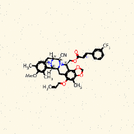 C=CCOc1c(C)c2c(c3c1CC1[C@H]4c5c(cc(C)c(OC)c5C)C[C@H]([C@H](C#N)N1[C@H]3COC(=O)/C=C/c1cccc(C(F)(F)F)c1)N4C)OCO2